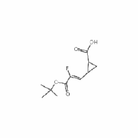 CC(C)(C)OC(=O)C(F)=CC1CC1C(=O)O